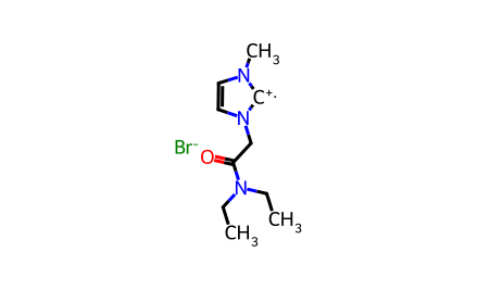 CCN(CC)C(=O)CN1[C+]N(C)C=C1.[Br-]